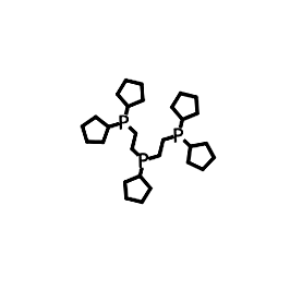 C1CCC(P(CCP(C2CCCC2)C2CCCC2)CCP(C2CCCC2)C2CCCC2)C1